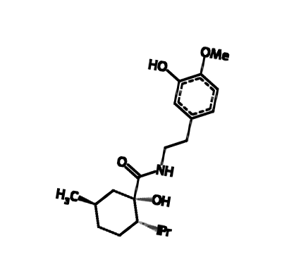 COc1ccc(CCNC(=O)[C@]2(O)C[C@H](C)CC[C@H]2C(C)C)cc1O